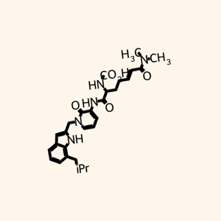 CC(C)Cc1cccc2cc(Cn3cccc(NC(=O)C(CCC=CC(=O)N(C)C)NC(=O)O)c3=O)[nH]c12